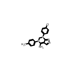 Cc1ccc(N2CN(c3ccc(Cl)cc3)C3=NN=CC3=C2N)cc1